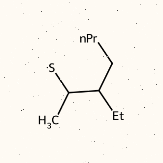 CCCCC(CC)C(C)[S]